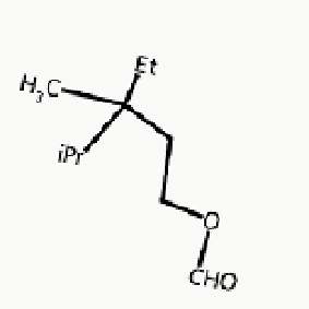 CCC(C)(CCOC=O)C(C)C